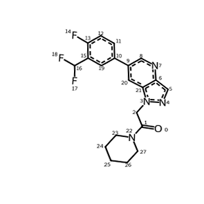 O=C(Cn1ncc2ncc(-c3ccc(F)c(C(F)F)c3)cc21)N1CCCCC1